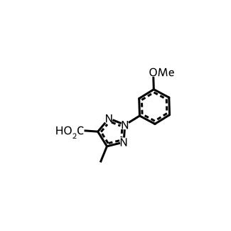 COc1cccc(-n2nc(C)c(C(=O)O)n2)c1